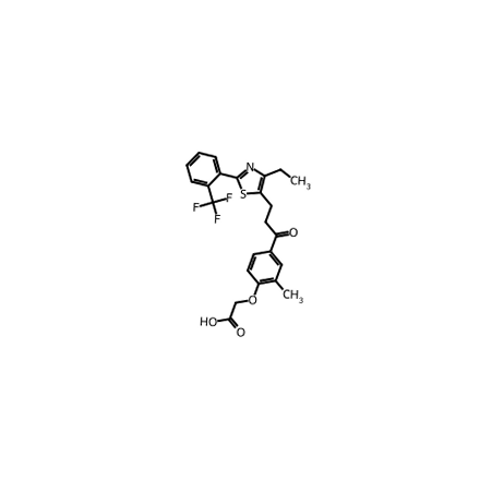 CCc1nc(-c2ccccc2C(F)(F)F)sc1CCC(=O)c1ccc(OCC(=O)O)c(C)c1